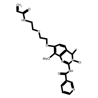 C=CC(=O)NCCOCCOc1ccc2c(c1OC)N=C(NC(=O)c1cccnc1)N(CC)C2I